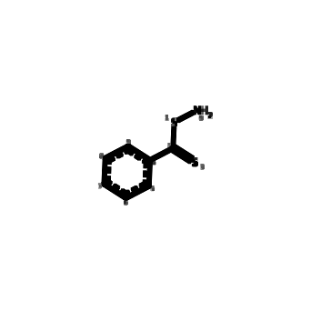 NSC(=S)c1ccccc1